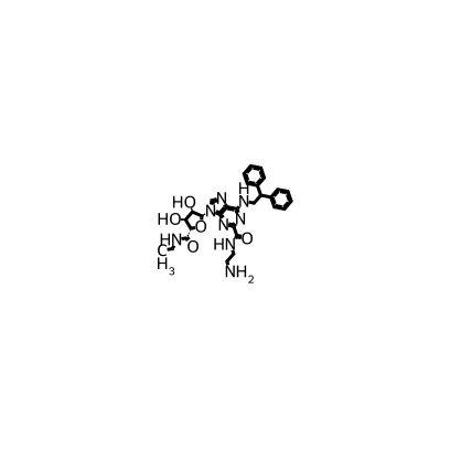 CCNC(=O)[C@H]1O[C@@H](n2cnc3c(NCC(c4ccccc4)c4ccccc4)nc(C(=O)NCCN)nc32)[C@@H](O)[C@@H]1O